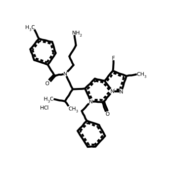 Cc1ccc(C(=O)N(CCCN)C(c2cc3c(F)c(C)nn3c(=O)n2Cc2ccccc2)C(C)C)cc1.Cl